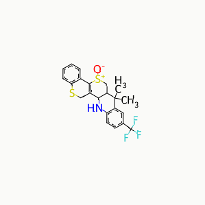 CC1(C)c2cc(C(F)(F)F)ccc2NC2C3=C(c4ccccc4SC3)[S+]([O-])CC21